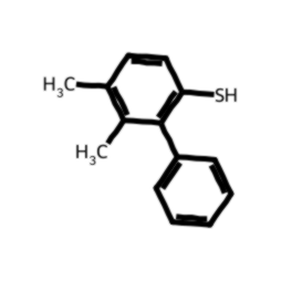 Cc1ccc(S)c(-c2ccccc2)c1C